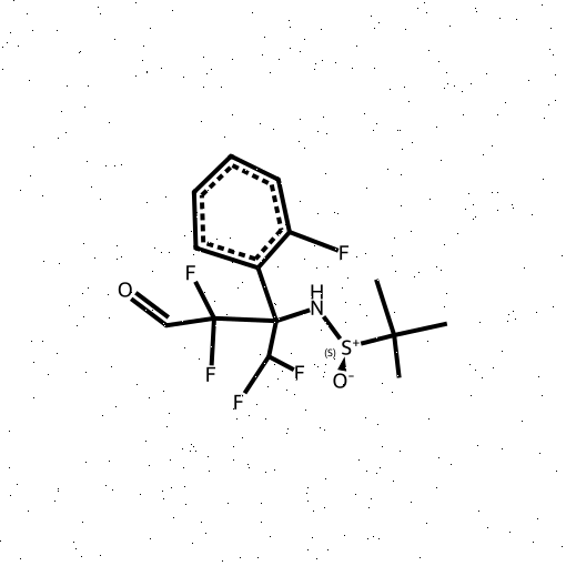 CC(C)(C)[S@@+]([O-])NC(c1ccccc1F)(C(F)F)C(F)(F)C=O